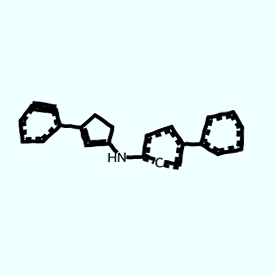 C1=C(Nc2ccc(-c3ccccc3)cc2)CCC=1c1c#cccc1